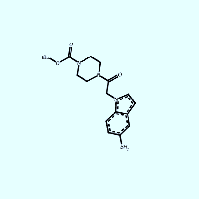 Bc1ccc2c(ccn2CC(=O)N2CCN(C(=O)OC(C)(C)C)CC2)c1